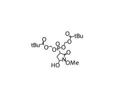 CON1C(=O)C(P(=O)(OCOC(=O)C(C)(C)C)OCOC(=O)C(C)(C)C)CC1O